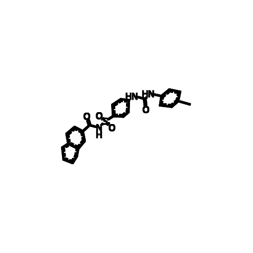 Cc1ccc(NC(=O)Nc2ccc(S(=O)(=O)NC(=O)c3ccc4ccccc4c3)cc2)cc1